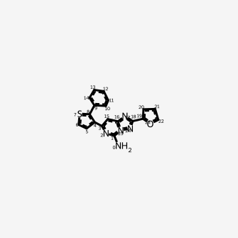 Nc1nc(-c2ccsc2-c2ccccc2)cc2nc(-c3ccco3)nn12